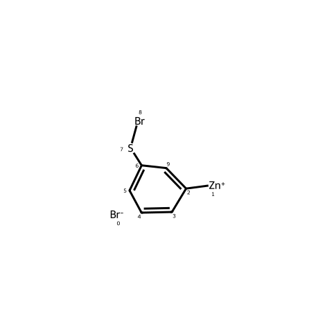 [Br-].[Zn+][c]1cccc(SBr)c1